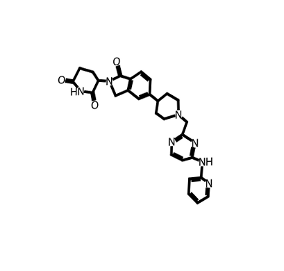 O=C1CCC(N2Cc3cc(C4CCN(Cc5nccc(Nc6ccccn6)n5)CC4)ccc3C2=O)C(=O)N1